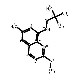 CSc1ncc2cc(C)nc(NCC(C)(C)C)c2n1